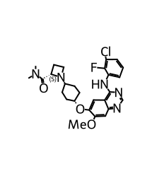 COc1cc2ncnc(Nc3cccc(Cl)c3F)c2cc1O[C@H]1CC[C@H](N2CC[C@H]2C(=O)N(C)C)CC1